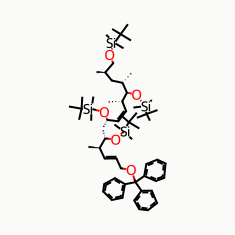 C[C@@H](CO[Si](C)(C)C(C)(C)C)C[C@H](C)[C@@H](O[Si](C)(C)C(C)(C)C)[C@@H](C)/C=C\[C@H](C[C@H](O[Si](C)(C)C(C)(C)C)[C@H](C)/C=C/COC(c1ccccc1)(c1ccccc1)c1ccccc1)O[Si](C)(C)C(C)(C)C